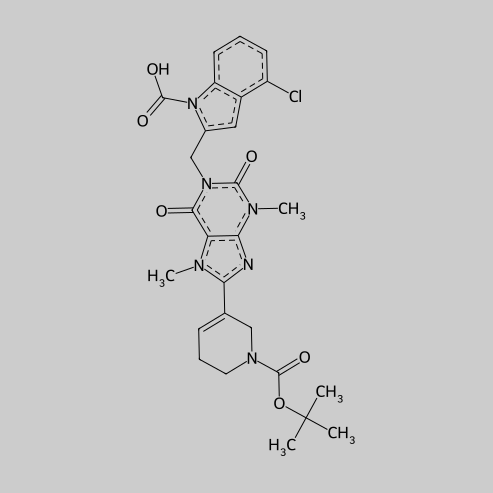 Cn1c(C2=CCCN(C(=O)OC(C)(C)C)C2)nc2c1c(=O)n(Cc1cc3c(Cl)cccc3n1C(=O)O)c(=O)n2C